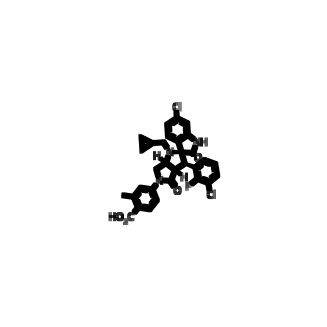 Cc1cc(N2C[C@H]3[C@@H](C2=O)[C@H](c2cccc(Cl)c2F)[C@]2(C(=O)Nc4cc(Cl)ccc42)N3CC2CC2)ccc1C(=O)O